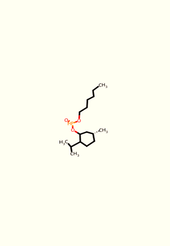 CCCCCCO[PH](=O)OC1C[C@H](C)CCC1C(C)C